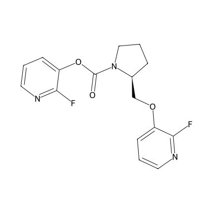 O=C(Oc1cccnc1F)N1CCC[C@H]1COc1cccnc1F